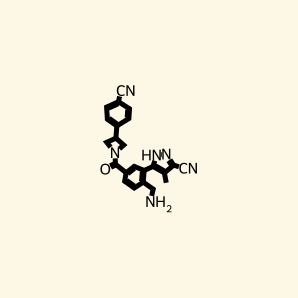 Cc1c(C#N)n[nH]c1-c1cc(C(=O)N2CC(c3ccc(C#N)cc3)C2)ccc1CN